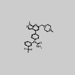 CN1CCN(Cc2cc(-c3ccc(N(C(N)=O)c4cccc(C(F)(F)F)c4)cc3)c3cnn(C)c3n2)CC1